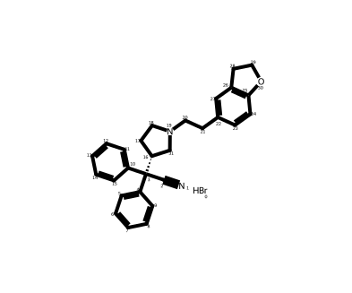 Br.N#CC(c1ccccc1)(c1ccccc1)[C@@H]1CCN(CCc2ccc3c(c2)CCO3)C1